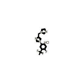 CC(F)(F)c1cc(-n2cnc(Cn3ccnc3)c2)ccc1F.Cl